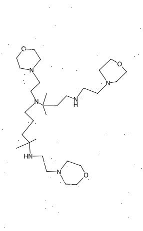 CC(C)(CCCN(CCN1CCOCC1)C(C)(C)CCNCCN1CCOCC1)NCCN1CCOCC1